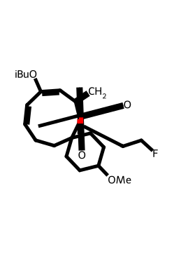 C=C1/C=C(OCC(C)C)\C=C/CCC2(CCC(OC)CC2)C12NC(=O)N(CCF)C2=O